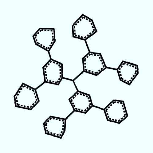 c1ccc(-c2cc(-c3ccccc3)cc(C(c3cc(-c4ccccc4)cc(-c4ccccc4)c3)c3cc(-c4ccccc4)cc(-c4ccccc4)c3)c2)cc1